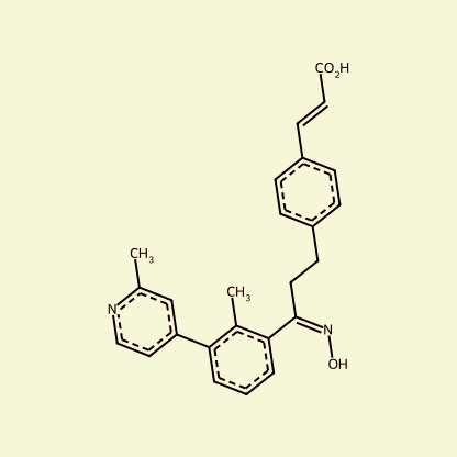 Cc1cc(-c2cccc(/C(CCc3ccc(/C=C/C(=O)O)cc3)=N\O)c2C)ccn1